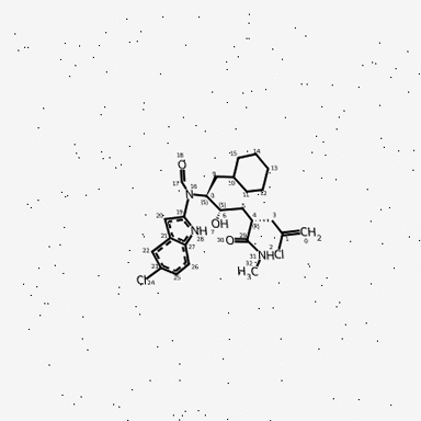 C=C(Cl)C[C@@H](C[C@H](O)[C@H](CC1CCCCC1)N(C=O)c1cc2cc(Cl)ccc2[nH]1)C(=O)NC